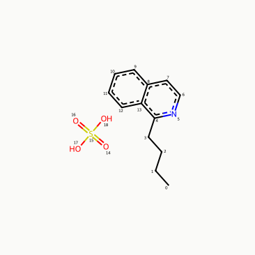 CCCCc1nccc2ccccc12.O=S(=O)(O)O